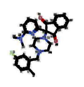 Cc1ccc(F)cc1CN1CCN(C2(c3cccc(N(C)C)n3)C(=O)c3ccccc3C2=O)CC1